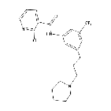 O=C(Nc1cc(CCCN2CCCCC2)cc(C(F)(F)F)c1)c1cccnc1Cl